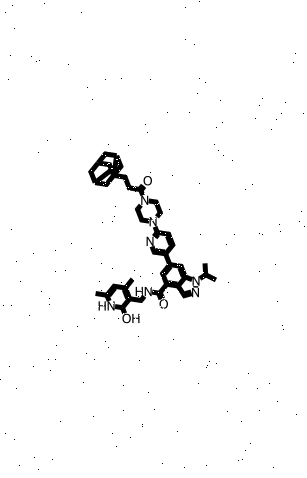 CC1=CC(C)=C(CNC(=O)c2cc(-c3ccc(N4CCN(C(=O)CCC56CC7CC(CC(C7)C5)C6)CC4)nc3)cc3c2cnn3C(C)C)C(O)N1